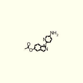 CC(=O)Oc1ccc2c(cnn2-c2ccc(N)cn2)c1